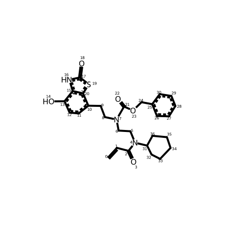 C=CC(=O)N(CCN(CCc1ccc(O)c2[nH]c(=O)sc12)C(=O)OCc1ccccc1)C1CCCCC1